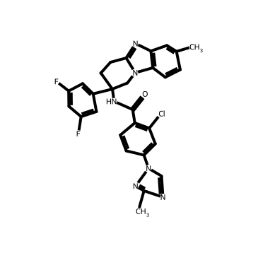 Cc1ccc2c(c1)nc1n2CC(NC(=O)c2ccc(-n3cnc(C)n3)cc2Cl)(c2cc(F)cc(F)c2)CC1